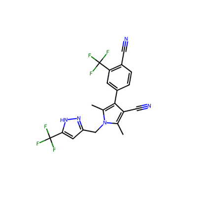 Cc1c(C#N)c(-c2ccc(C#N)c(C(F)(F)F)c2)c(C)n1Cc1cc(C(F)(F)F)[nH]n1